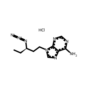 CC[C@H](CCn1cnc2c(N)ncnc21)N=[N+]=[N-].Cl